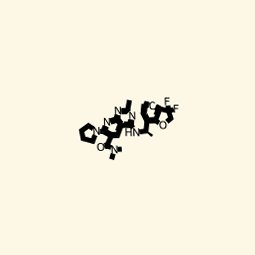 Cc1nc(N[C@H](C)c2cccc3c2OCC3(F)F)c2cc(C(=O)N(C)C)c(N3CCCC3)nc2n1